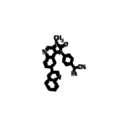 CCC(C#N)c1ccc(-n2c(=O)n(C)c3cnc4ccc(-c5cnc6ccccc6c5)cc4c32)cc1